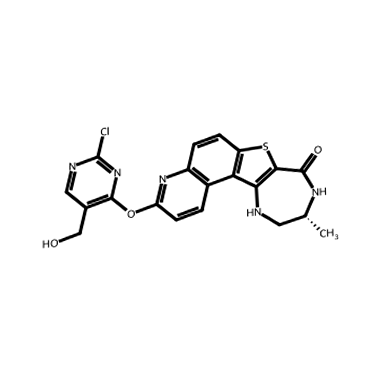 C[C@@H]1CNc2c(sc3ccc4nc(Oc5nc(Cl)ncc5CO)ccc4c23)C(=O)N1